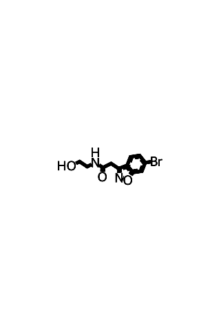 O=C(Cc1noc2cc(Br)ccc12)NCCO